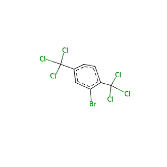 ClC(Cl)(Cl)c1ccc(C(Cl)(Cl)Cl)c(Br)c1